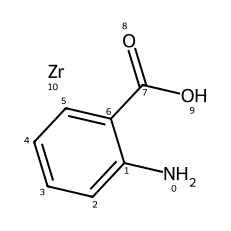 Nc1ccccc1C(=O)O.[Zr]